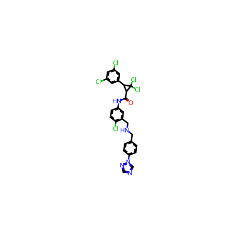 O=C(Nc1ccc(Cl)c(CNCc2ccc(-n3cncn3)cc2)c1)C1C(c2cc(Cl)cc(Cl)c2)C1(Cl)Cl